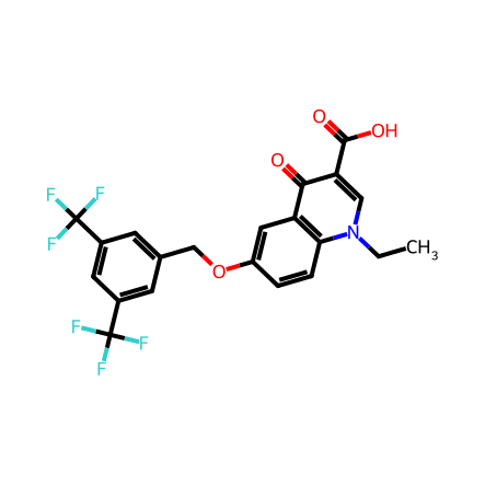 CCn1cc(C(=O)O)c(=O)c2cc(OCc3cc(C(F)(F)F)cc(C(F)(F)F)c3)ccc21